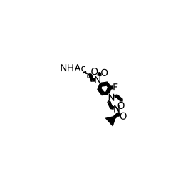 CC(=O)NC[C@H]1CN(c2ccc(N3CCON(C(=O)C4CC4)CC3)c(F)c2)C(=O)O1